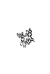 C=CC(=O)Nc1cc(Nc2ncc3c(C)cc(-c4cnc5c(c4)cc(C)n5C)n3n2)c(OC)cc1N1CCN(C)CC1